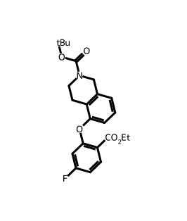 CCOC(=O)c1ccc(F)cc1Oc1cccc2c1CCN(C(=O)OC(C)(C)C)C2